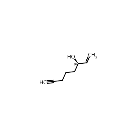 C#CCCC[C@@H](O)C=C